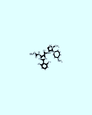 Cn1ncc(NC(=O)c2nc(-c3c(F)cccc3F)sc2NC(=O)OC(C)(C)C)c1N1CCC[C@@H](N)CC1